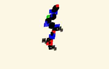 CCOC(=O)O[C@@H](C)n1nnc(COCC(C)NC2CCC(Nc3cc(-c4cccc(NCC5(C#N)CCOCC5)n4)c(Cl)cn3)CC2)n1